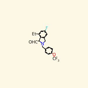 CCc1cc(F)cc2c1C(C=O)N(Cc1ccc(OC(F)(F)F)cc1)C2